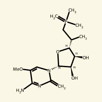 C=C1N=C(N)C(OC)=CN1[C@@H]1O[C@H](C(C)CP(=C)(C)C)[C@@H](O)[C@H]1O